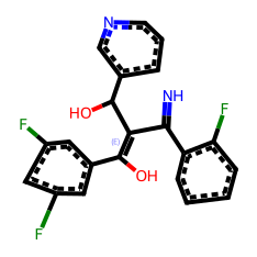 N=C(/C(=C(\O)c1cc(F)cc(F)c1)C(O)c1cccnc1)c1ccccc1F